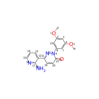 COc1cc(OC)cc(-n2nc(-c3cccnc3N)ccc2=O)c1